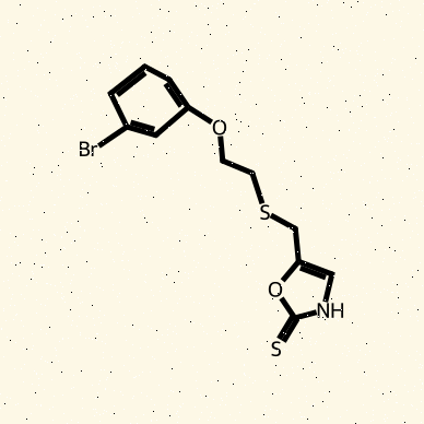 S=c1[nH]cc(CSCCOc2cccc(Br)c2)o1